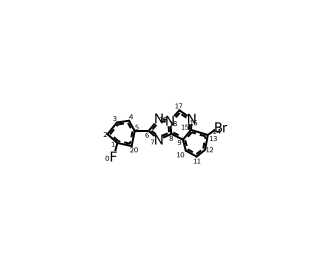 Fc1cccc(-c2nc3c4cccc(Br)c4ncn3n2)c1